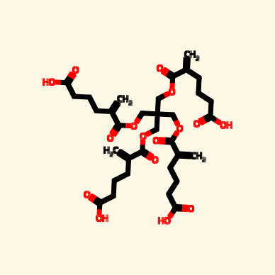 C=C(CCCC(=O)O)C(=O)OCC(COC(=O)C(=C)CCCC(=O)O)(COC(=O)C(=C)CCCC(=O)O)COC(=O)C(=C)CCCC(=O)O